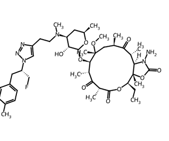 CC[C@H]1OC(=O)[C@H](C)C(=O)[C@H](C)[C@@H](O[C@@H]2O[C@H](C)C[C@H](N(C)CCc3cn([C@H](CF)Cc4ccc(C)cc4)nn3)[C@H]2O)[C@](C)(OC)C[C@@H](C)C(=O)[C@H](C)[C@H]2N(N)C(=O)O[C@]12C